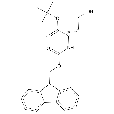 CC(C)(C)OC(=O)[C@H](CCO)NC(=O)OCC1c2ccccc2-c2ccccc21